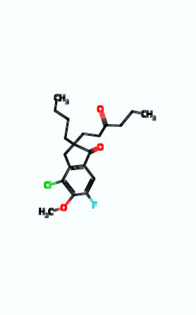 CCCCC1(CCC(=O)CCC)Cc2c(cc(F)c(OC)c2Cl)C1=O